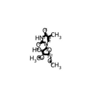 COC[C@H]1O[C@@H](n2cc(C)c(=O)[nH]c2=O)[C@@H](O)C1OC